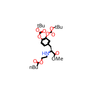 CCCCC(=O)OCCN[C@@H](Cc1ccc(OC(=O)OC(C)(C)C)c(OC(=O)OC(C)(C)C)c1)C(=O)OC